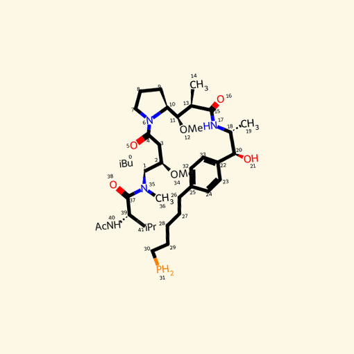 CC[C@H](C)[C@@H]([C@@H](CC(=O)N1CCC[C@H]1[C@H](OC)[C@@H](C)C(=O)N[C@H](C)[C@@H](O)c1ccc(CCCCCP)cc1)OC)N(C)C(=O)[C@@H](NC(C)=O)C(C)C